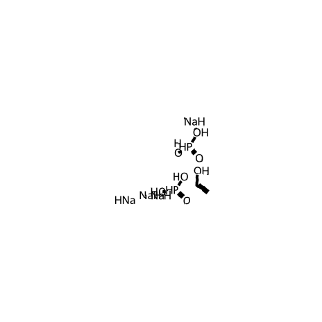 C=CO.O=[PH](O)O.O=[PH](O)O.[NaH].[NaH].[NaH].[NaH]